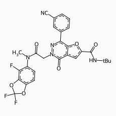 CN(C(=O)Cn1nc(-c2cccc(C#N)c2)c2oc(C(=O)NC(C)(C)C)cc2c1=O)c1ccc2c(c1F)OC(F)(F)O2